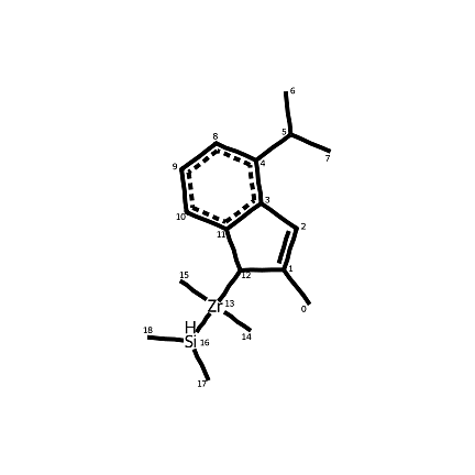 CC1=Cc2c(C(C)C)cccc2[CH]1[Zr]([CH3])([CH3])[SiH](C)C